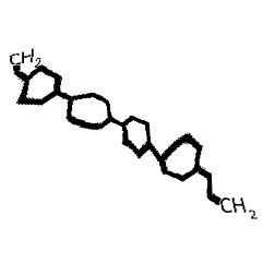 C=CCC1CCC(C2CCC(C3CCC(C4CCC(C=C)CC4)CC3)CC2)CC1